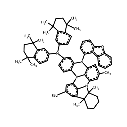 Cc1cc2c3c(c1)N1c4c(cc(C(C)(C)C)cc4C4(C)CCCCC14C)B3c1ccc(N(c3ccc4c(c3)C(C)(C)CCC4(C)C)c3ccc4c(c3)C(C)(C)CCC4(C)C)cc1N2c1cccc2oc3ccccc3c12